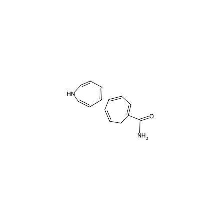 C1=CC=CNC=C1.NC(=O)C1=CC=CC=CC1